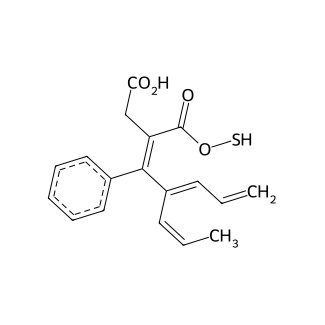 C=C/C=C(\C=C/C)C(=C(/CC(=O)O)C(=O)OS)/c1ccccc1